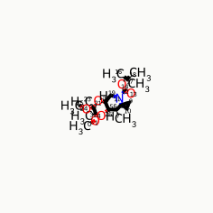 CO[C@@]1(C)O[C@@H]2[C@@H](C)C3(CC3)N(C(=O)OC(C)(C)C)C[C@H]2O[C@]1(C)OC